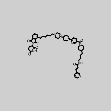 O=C(/C=C/c1cccnc1)NCCCCC1CCN(C(=O)c2ccc(N3CCC(N4CCN(CCCCCCc5cccc6c5C(=O)N(C5CCC(=O)NC5=O)C6=O)CC4)CC3)nc2)CC1